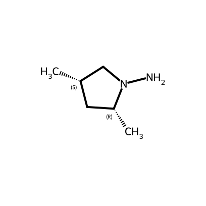 C[C@H]1C[C@@H](C)N(N)C1